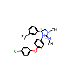 N#C/N=C1/N(C#N)C[C@H](c2cccc(C(F)(F)F)c2)N1c1ccc(Oc2ccc(Cl)cc2)cc1